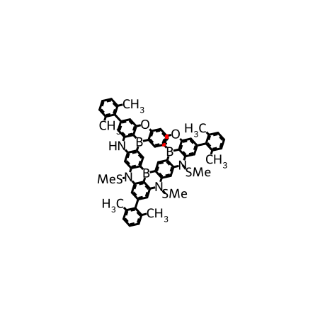 CSN1c2cc3c(cc2B2c4ccccc4Oc4cc(-c5c(C)cccc5C)cc1c42)B1c2cc4c(cc2N(SC)c2cc(-c5c(C)cccc5C)cc(c21)N3SC)Nc1cc(-c2c(C)cccc2C)cc2c1B4c1ccccc1O2